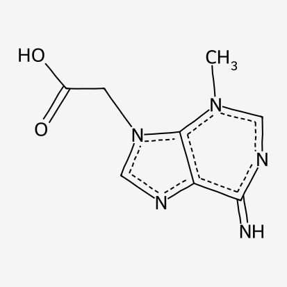 Cn1cnc(=N)c2ncn(CC(=O)O)c21